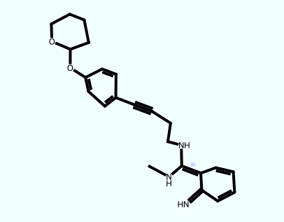 CN/C(NCCC#Cc1ccc(OC2CCCCO2)cc1)=C1/C=CC=CC1=N